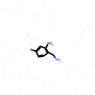 NCc1ccc(I)cc1[N+](=O)[O-]